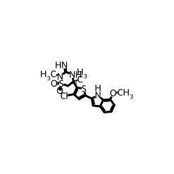 COc1cccc2cc(-c3cc(Cl)c([C@]4(C)CS(=O)(=O)N(C)C(=N)N4)s3)[nH]c12